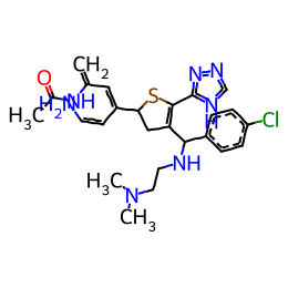 C=C(/C=C(\C=C/N)C1CC(C(NCCN(C)C)c2ccc(Cl)cc2)=C(c2nnc[nH]2)S1)NC(C)=O